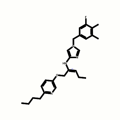 CC/C=C(\COc1ccc(CCCC)nc1)Nc1cn(Cc2cc(C)c(C)c(F)c2)cn1